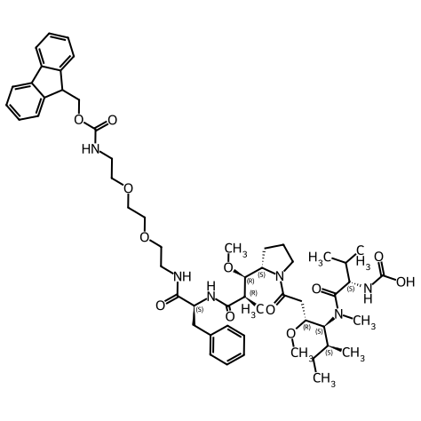 CC[C@H](C)[C@@H]([C@@H](CC(=O)N1CCC[C@H]1[C@H](OC)[C@@H](C)C(=O)N[C@@H](Cc1ccccc1)C(=O)NCCOCCOCCNC(=O)OCC1c2ccccc2-c2ccccc21)OC)N(C)C(=O)[C@@H](NC(=O)O)C(C)C